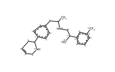 CC(Cc1ccc(C2CC=CCN2)cc1)NCC(O)c1cccc(C(F)(F)F)c1